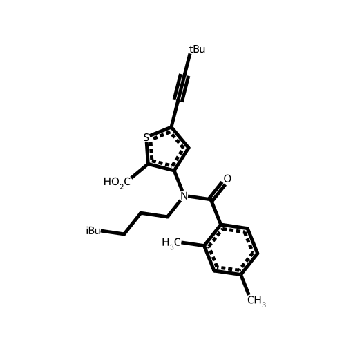 CCC(C)CCCN(C(=O)c1ccc(C)cc1C)c1cc(C#CC(C)(C)C)sc1C(=O)O